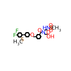 CSc1cc(F)c(F)cc1-c1ccc(OCc2cccc(C(=O)N(CCNS(C)(=O)=O)CC(=O)O)c2)cc1